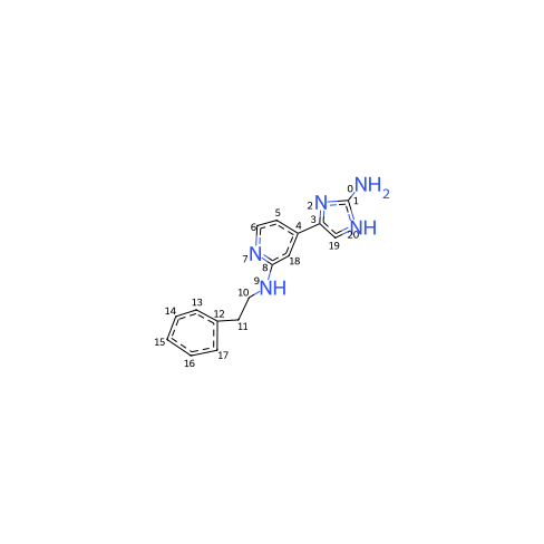 Nc1nc(-c2ccnc(NCCc3ccccc3)c2)c[nH]1